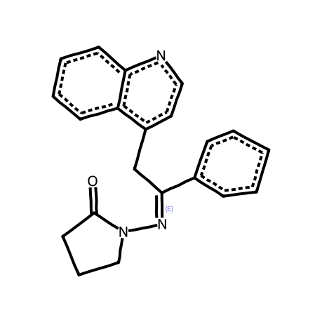 O=C1CCCN1/N=C(\Cc1ccnc2ccccc12)c1ccccc1